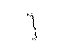 CCCCCCCCSCCCS